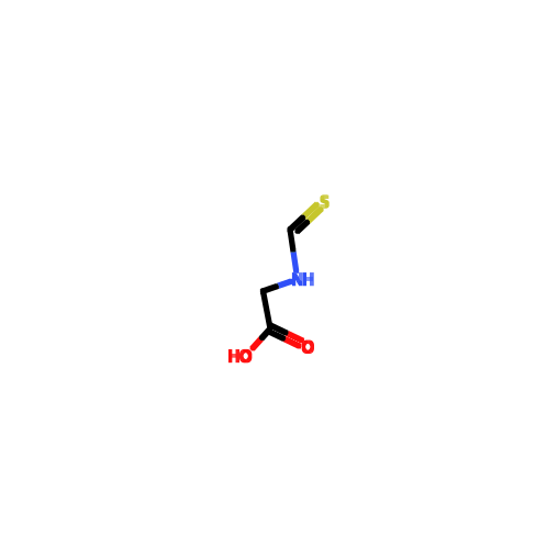 O=C(O)CNC=S